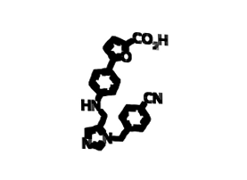 N#Cc1ccc(Cn2cncc2CNc2ccc(-c3ccc(C(=O)O)o3)cc2)cc1